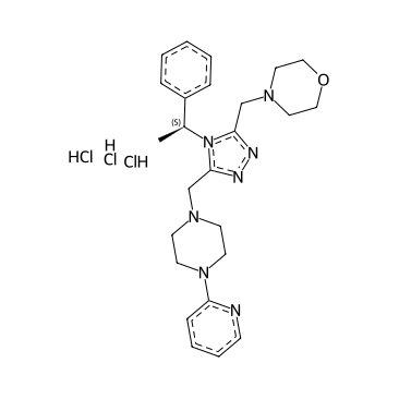 C[C@@H](c1ccccc1)n1c(CN2CCOCC2)nnc1CN1CCN(c2ccccn2)CC1.Cl.Cl.Cl